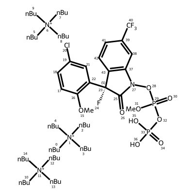 CCCC[N+](CCCC)(CCCC)CCCC.CCCC[N+](CCCC)(CCCC)CCCC.CCCC[N+](CCCC)(CCCC)CCCC.COc1ccc(Cl)cc1[C@]1(F)C(=O)N(OP(=O)(OC)OP(=O)(O)O)c2cc(C(F)(F)F)ccc21